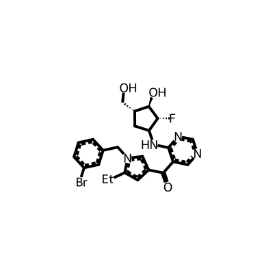 CCc1cc(C(=O)c2cncnc2NC2C[C@H](CO)[C@@H](O)[C@@H]2F)cn1Cc1cccc(Br)c1